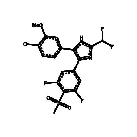 COc1cc(-c2[nH]c(C(F)F)nc2-c2cc(F)c(S(C)(=O)=O)c(F)c2)ccc1Cl